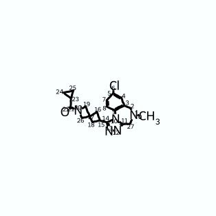 CN1Cc2cc(Cl)ccc2-n2c(nnc2C2CC3(C2)CN(C(=O)C2CC2)C3)C1